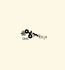 Cc1c(-c2cccc(S(=O)(=O)N(C)C)c2)c2cc(C=O)ccc2n1C/C(F)=C/COC(=O)O